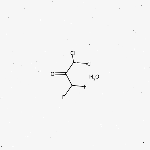 O.O=C(C(F)F)C(Cl)Cl